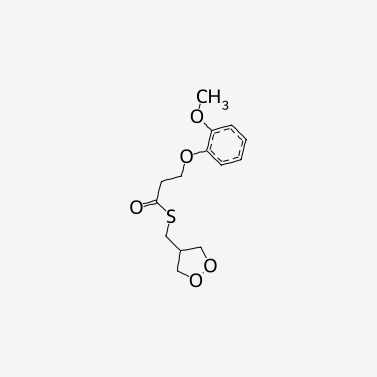 COc1ccccc1OCCC(=O)SCC1COOC1